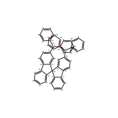 C1=CC(N(c2ccccc2)c2ccc3c(c2)C2(c4ccccc4-3)c3ccccc3-c3ccc(N(c4ccccc4)c4ccccc4)cc32)=CCC1